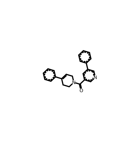 O=C(c1cncc(-c2ccccc2)c1)N1CC=C(c2ccccc2)CC1